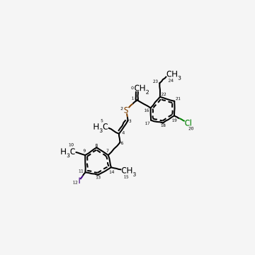 C=C(S/C=C(\C)Cc1cc(C)c(I)cc1C)c1ccc(Cl)cc1CC